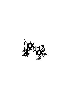 COc1ccc(NCc2cc(OC)c(OC)c(OC)c2)cc1O[Si](C)(C)C(C)(C)C